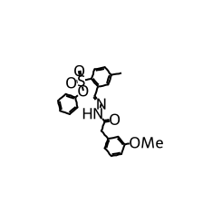 COc1cccc(CC(=O)NN=Cc2cc(C)ccc2S(=O)(=O)Oc2ccccc2)c1